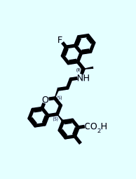 Cc1ccc([C@@H]2C[C@H](CCCN[C@H](C)c3ccc(F)c4ccccc34)Oc3ccccc32)cc1C(=O)O